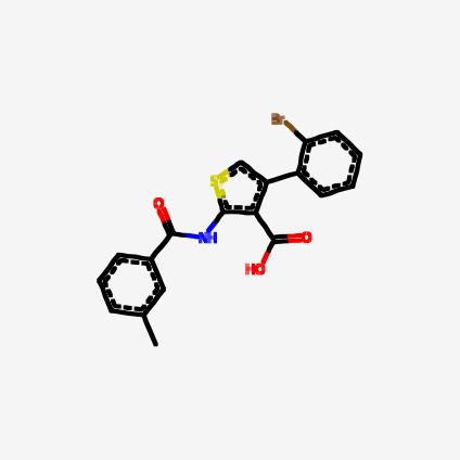 Cc1cccc(C(=O)Nc2scc(-c3ccccc3Br)c2C(=O)O)c1